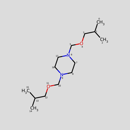 CC(C)COCN1CCN(COCC(C)C)CC1